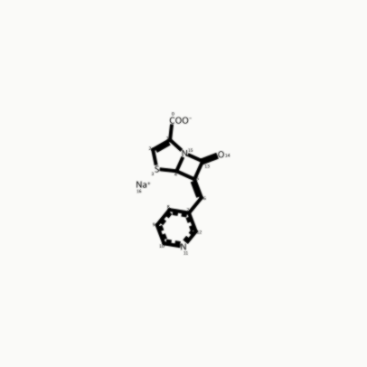 O=C([O-])C1=CSC2C(=Cc3cccnc3)C(=O)N12.[Na+]